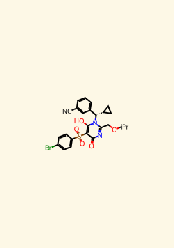 CC(C)OCc1nc(=O)c(S(=O)(=O)c2ccc(Br)cc2)c(O)n1[C@H](c1cccc(C#N)c1)C1CC1